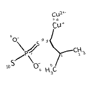 CC(C)[CH2][Cu+].[Cu+2].[O-]P([O-])(=S)[S-]